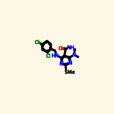 CSc1nc(NCc2ccc(Cl)cc2Cl)c(C(N)=O)c(N(C)C)n1